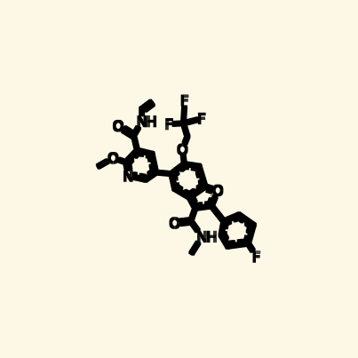 C=CNC(=O)c1cc(-c2cc3c(C(=O)NC)c(-c4ccc(F)cc4)oc3cc2OCC(F)(F)F)cnc1OC